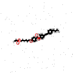 C=CC(=O)OCCCCCCOc1ccc(C(=O)Oc2ccc(C#Cc3ccc(CCCC)cc3)cc2C)cc1